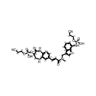 CN(Cc1coc2c(NP(=O)(O)OCCC#N)cccc12)C(=O)/C=C/c1cnc2c(c1)NC[C@@](C)(OP(=O)(O)OCCC#N)C(=O)N2